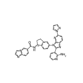 Nc1ncccc1-c1nc2ccc(-n3cccn3)nc2n1-c1ccc2c(c1)CC[C@@H]2NC(=O)c1ccc2nccn2c1